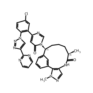 C[C@@H]1CCC[C@H](n2cnc(-c3cc(Cl)ccc3-n3cc(-c4ncccn4)nn3)cc2=O)c2cccc(c2)-c2c(cnn2C)NC1=O